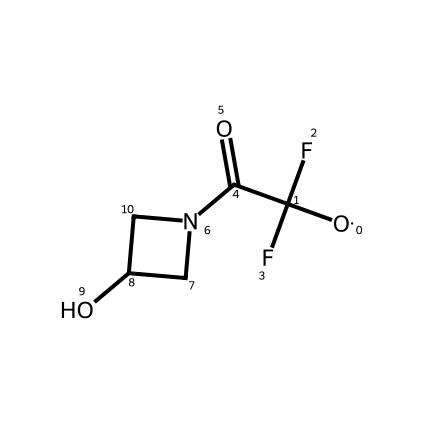 [O]C(F)(F)C(=O)N1CC(O)C1